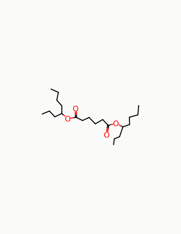 CCCCC(CCC)OC(=O)CCCCC(=O)OC(CCC)CCCC